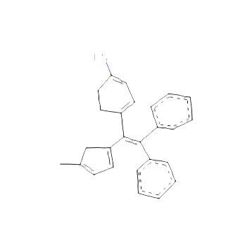 CC1=CC=C(C(C2=CC=C(N)CC2)=C(c2ccccc2)c2ccccc2)C1